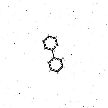 [c]1ccc(-c2cc[c]cc2)cc1